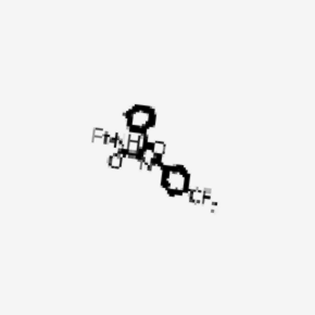 CCNC(=O)c1nc(-c2ccc(C(F)(F)F)cc2)oc1-c1ccccc1